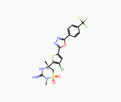 CN1C(=N)N[C@](C)(c2sc(-c3nnc(-c4ccc(C(F)(F)F)cc4)o3)cc2Cl)CS1(=O)=O